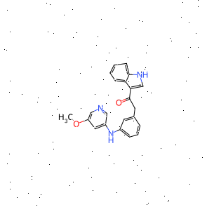 COc1cncc(Nc2cccc(CC(=O)c3c[nH]c4ccccc34)c2)c1